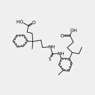 CCC(CCC(=O)O)c1ccc(C)cc1NC(=S)NCCC(C)(CCC(=O)O)c1ccccc1